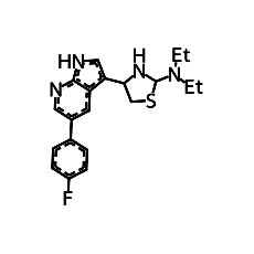 CCN(CC)C1NC(c2c[nH]c3ncc(-c4ccc(F)cc4)cc23)CS1